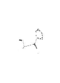 CC(C=O)C(=O)c1cccs1